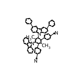 Cc1c(-c2ccc(C#N)cc2)c(-n2c3ccccc3c3ccccc32)c(C)c(-n2c3ccc(-c4ccccc4)cc3c3cc(-c4ccccc4)ccc32)c1-c1ccc(C#N)cc1